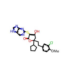 COc1ccc(CCC2(C3CCCC3)CC(O)=C(Sc3ncc4[nH]cnc4n3)C(=O)O2)cc1Cl